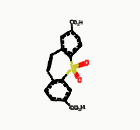 O=C(O)c1ccc2c(c1)C=Cc1ccc(C(=O)O)cc1S2(=O)=O